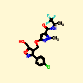 C[C@@H](NC(=O)c1cc(OCc2c(-c3ccc(Cl)cc3)noc2CO)nn1C)C(F)(F)F